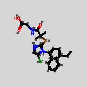 CCc1ccc(-n2c(Br)cnc2SC(C)(C)C(=O)NCC(=O)O)c2ccccc12